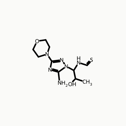 CC(O)C(NC=S)n1nc(N2CCOCC2)nc1N